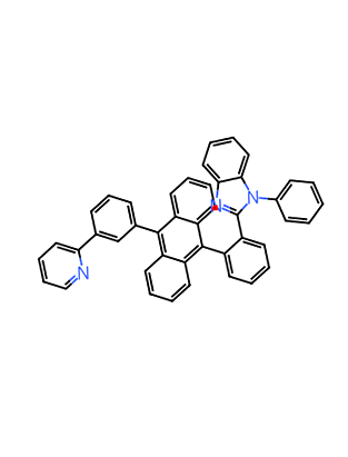 c1ccc(-n2c(-c3ccccc3-c3c4ccccc4c(-c4cccc(-c5ccccn5)c4)c4ccccc34)nc3ccccc32)cc1